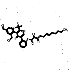 CCCCCC=CCCC(Cl)C(Cl)C(Cl)Oc1ccccc1-c1c[nH]c(C(F)(F)Cl)c(-c2ccc(CCl)cc2CCl)c1=S